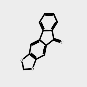 O=C1c2ccccc2-c2cc3c(cc21)OCO3